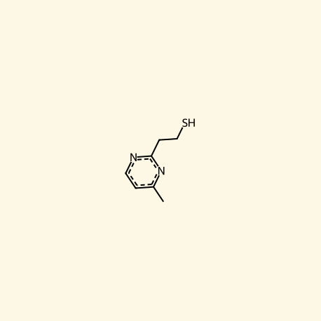 Cc1ccnc(CCS)n1